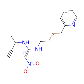 C#CC(C)N/C(=C/[N+](=O)[O-])NCCSCc1ccccn1